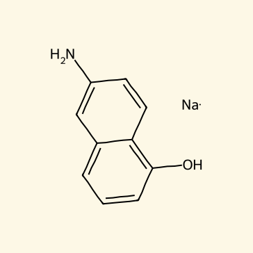 Nc1ccc2c(O)cccc2c1.[Na]